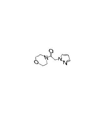 O=C(Cn1cccn1)N1CCOCC1